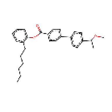 CCCCCCc1ccccc1OC(=O)c1ccc(-c2ccc(C(C)OC)cc2)cc1